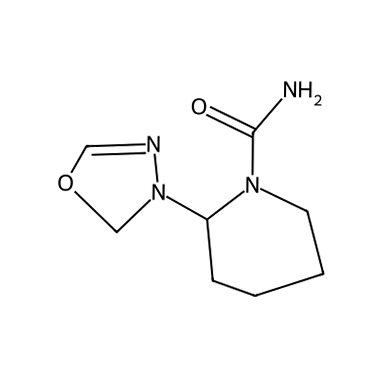 NC(=O)N1CCCCC1N1COC=N1